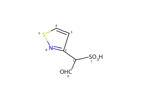 O=[C]C(c1ccsn1)S(=O)(=O)O